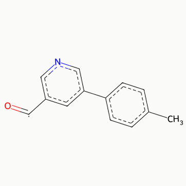 Cc1ccc(-c2cncc([C]=O)c2)cc1